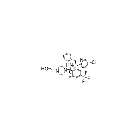 O=C(N[C@@](Cc1ccccc1)(c1cc(F)cc(C(F)(F)F)c1)c1ccc(Cl)cn1)N1CCN(CCO)CC1